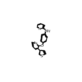 c1ccc(Nc2ccc(Oc3ncccc3-c3ccsc3)cc2)nc1